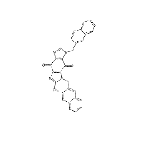 Cc1nc2c(n1Cc1ccc3ccccc3c1)C(=O)c1c(ncn1Cc1ccc3ccccc3c1)C2=O